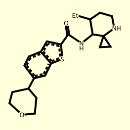 CCC1CCNC2(CC2)C1NC(=O)c1cc2ccc(C3CCOCC3)cc2s1